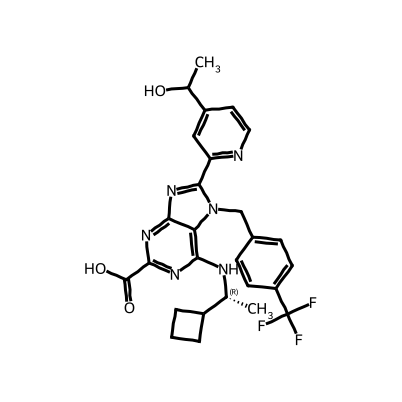 CC(O)c1ccnc(-c2nc3nc(C(=O)O)nc(N[C@H](C)C4CCC4)c3n2Cc2ccc(C(F)(F)F)cc2)c1